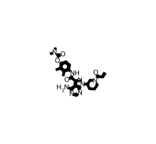 C=CC(=O)N1CCCC(n2nc(C(=O)Nc3ccc(OC(=O)N(C)C)c(C)c3C)c3c(N)ncnc32)C1